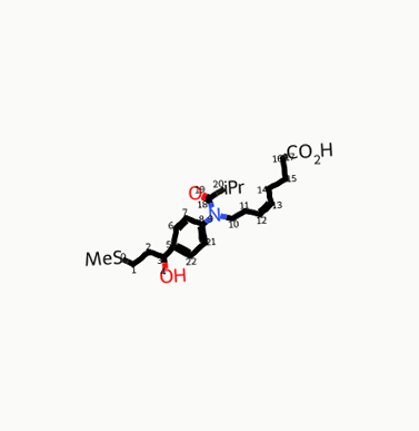 CSCCC(O)c1ccc(N(CC/C=C\CCCC(=O)O)C(=O)C(C)C)cc1